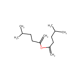 C=C(CCC(C)C)OC(=C)CCC(C)C